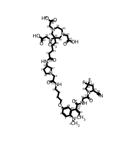 C=Nc1ccc(OCCCCNC(=O)CN2CCC(NC(=O)CCCCC3(N(C)CC(=O)O)CN(CC(=O)O)CCN(CC(=O)O)C3)C2)cc1/C(=C\C)C(=O)NCC(=O)N1CC(F)(F)CC1C#N